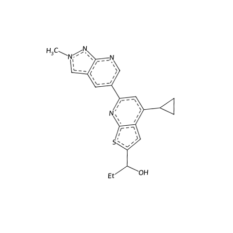 CCC(O)c1cc2c(C3CC3)cc(-c3cnc4nn(C)cc4c3)nc2s1